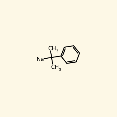 C[C](C)([Na])c1ccccc1